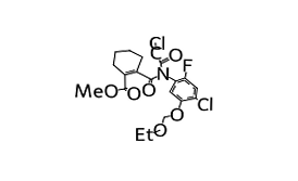 CCOCOc1cc(N(C(=O)CCl)C(=O)C2=C(C(=O)OC)CCCC2)c(F)cc1Cl